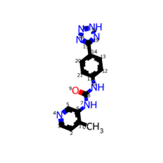 Cc1ccncc1NC(=O)Nc1ccc(-c2nn[nH]n2)cc1